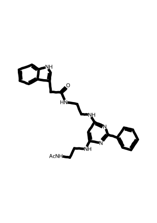 CC(=O)NCCNc1cc(NCCNC(=O)Cc2c[nH]c3ccccc23)nc(-c2ccccc2)n1